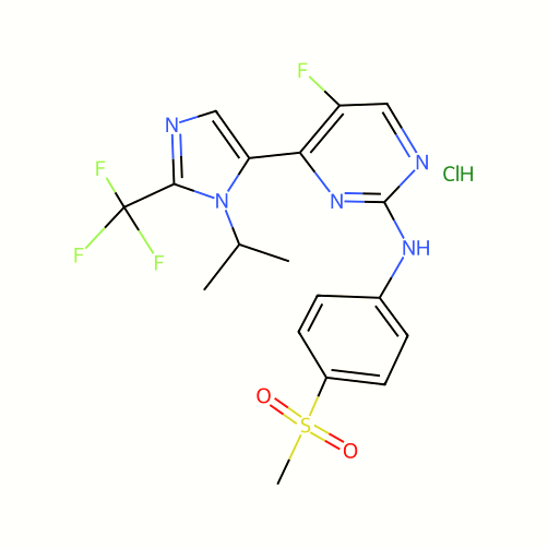 CC(C)n1c(-c2nc(Nc3ccc(S(C)(=O)=O)cc3)ncc2F)cnc1C(F)(F)F.Cl